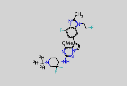 [2H]C([2H])([2H])N1CC[C@@H](Nc2nc(OC)c3c(-c4cc(F)c5nc(C)n(CCF)c5c4)ccn3n2)C(F)(F)C1